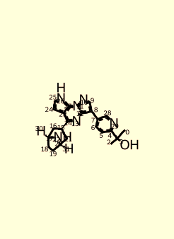 CC(C)(O)c1ccc(-c2cnn3c2nc([C@@H]2C[C@H]4CC[C@@H](C2)N4)c2cc[nH]c23)cn1